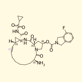 N[C@H]1CCCCC/C=C\[C@@H]2C[C@@]2(C(=O)NS(=O)(=O)C2CC2)NC(=O)[C@@H]2C[C@@H](OC(=O)N3Cc4cccc(F)c4C3)CN2C1=O